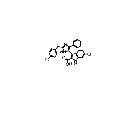 C[C@@H](c1ccc(Cl)cc1)c1nc(-c2ccccc2)c(-c2c(C(=O)O)[nH]c3cc(Cl)ccc23)[nH]1